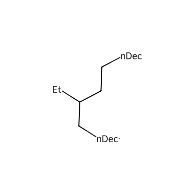 CCCCCCCCC[CH]CC(CC)CCCCCCCCCCCC